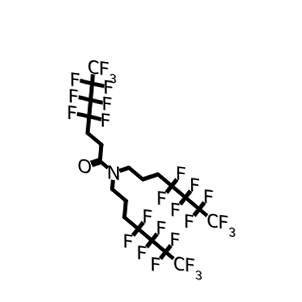 O=C(CCC(F)(F)C(F)(F)C(F)(F)C(F)(F)F)N(CCCC(F)(F)C(F)(F)C(F)(F)C(F)(F)F)CCCC(F)(F)C(F)(F)C(F)(F)C(F)(F)F